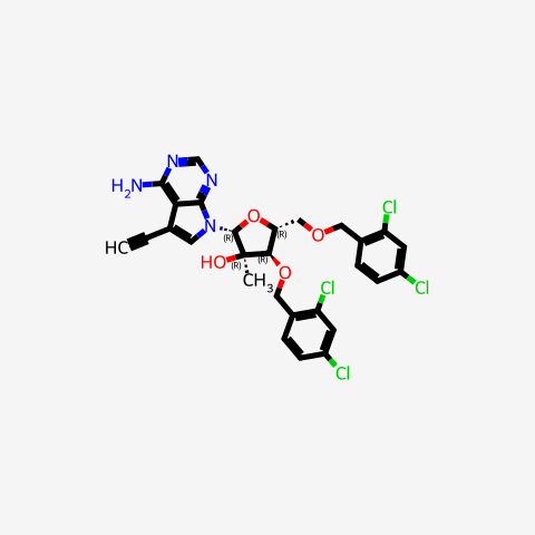 C#Cc1cn([C@@H]2O[C@H](COCc3ccc(Cl)cc3Cl)[C@@H](OCc3ccc(Cl)cc3Cl)[C@@]2(C)O)c2ncnc(N)c12